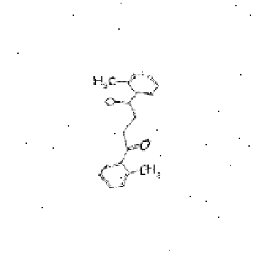 Cc1ccccc1C(=O)CCC(=O)c1ccccc1C